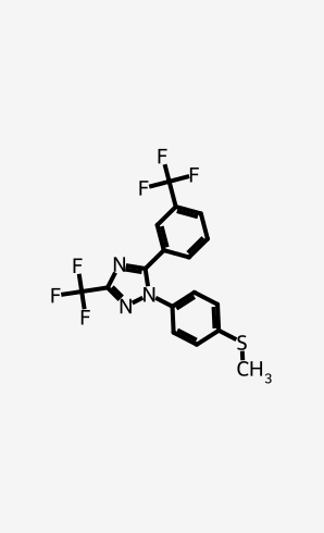 CSc1ccc(-n2nc(C(F)(F)F)nc2-c2cccc(C(F)(F)F)c2)cc1